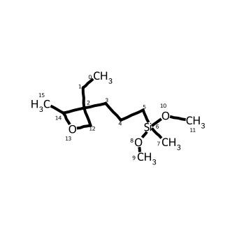 CCC1(CCC[Si](C)(OC)OC)COC1C